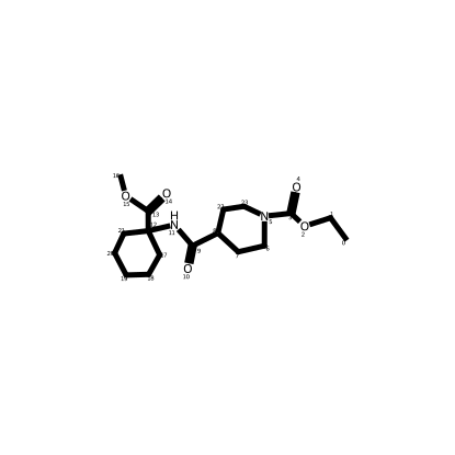 CCOC(=O)N1CCC(C(=O)NC2(C(=O)OC)CCCCC2)CC1